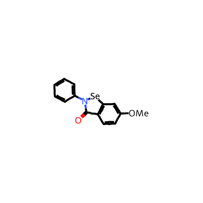 COc1ccc2c(=O)n(-c3ccccc3)[se]c2c1